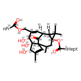 CCCCCCCC(=O)O[C@@]12CC(C)C34C=C(C)[C@H](O)[C@@]3(O)[C@H](O)C(COC(=O)CCC)=C[C@H](C4=O)[C@@H]1C2(C)C